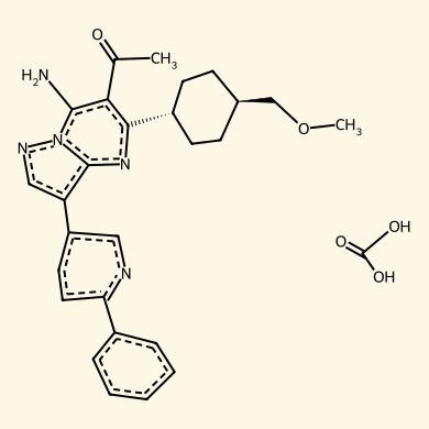 COC[C@H]1CC[C@H](c2nc3c(-c4ccc(-c5ccccc5)nc4)cnn3c(N)c2C(C)=O)CC1.O=C(O)O